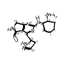 N[C@H]1CCCC[C@H]1Nc1nc2c(c(C3CC=NN3)n1)C(=O)NC2